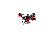 C=C1C(C)CC(CC[C@@H]2O[C@@H](CCCOC(=O)C(C)(C)C)CC2=C)OC1C[C@@H]1OC2CC(OC(=O)c3ccccc3)C(CCOC(=O)c3ccccc3)O[C@H]2[C@H](C)C1OCc1ccc(OC)cc1